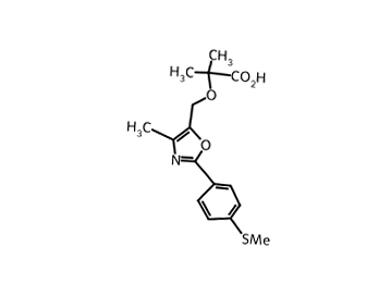 CSc1ccc(-c2nc(C)c(COC(C)(C)C(=O)O)o2)cc1